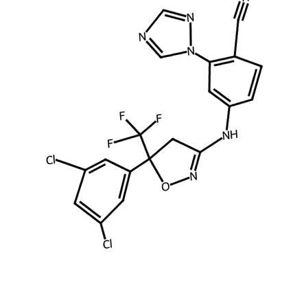 N#Cc1ccc(NC2=NOC(c3cc(Cl)cc(Cl)c3)(C(F)(F)F)C2)cc1-n1cncn1